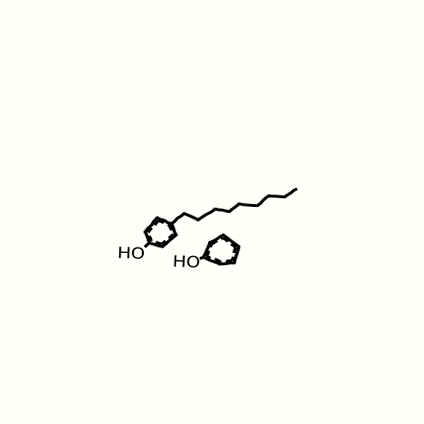 CCCCCCCCCc1ccc(O)cc1.Oc1ccccc1